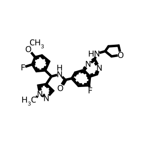 COc1ccc(C(NC(=O)c2cc(F)c3cnc(NC4CCOC4)nc3c2)c2cnn(C)c2)cc1F